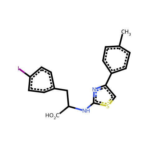 Cc1ccc(-c2csc(NC(Cc3ccc(I)cc3)C(=O)O)n2)cc1